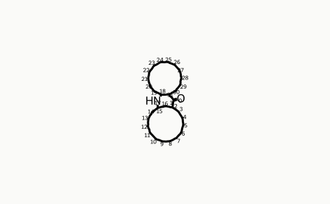 O=C1C2CCCCCCCCCCCCC(C2)NC2CCCCCCCCCCCCC12